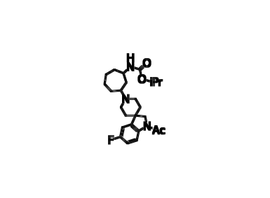 CC(=O)N1CC2(CCN(C3CCCCC(NC(=O)OC(C)C)C3)CC2)c2cc(F)ccc21